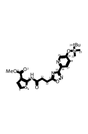 COC(=O)c1ccsc1NC(=O)CCc1nc(-c2ccc(O[Si](C)(C)C(C)(C)C)cn2)no1